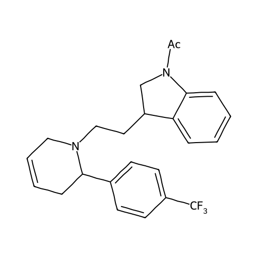 CC(=O)N1CC(CCN2CC=CCC2c2ccc(C(F)(F)F)cc2)c2ccccc21